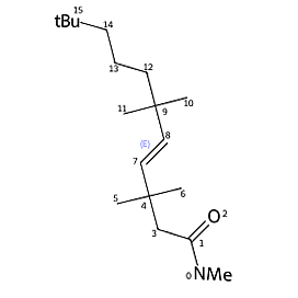 CNC(=O)CC(C)(C)/C=C/C(C)(C)CCCC(C)(C)C